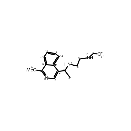 COc1ncc(C(C)NCCNCC(F)(F)F)c2ccccc12